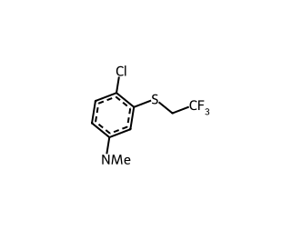 CNc1ccc(Cl)c(SCC(F)(F)F)c1